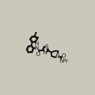 CCCC(=O)N1CCC(c2nc(C(=O)Nc3ccccc3-c3ccc(C)cc3)cs2)CC1